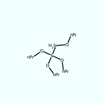 CCCO[SiH2][Si](OCCC)(OCCC)OCCC